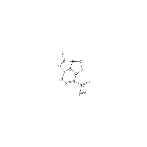 COC(=O)C1=COC2OC(=O)C3CCC1C23